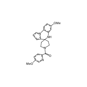 COc1ccc(C(=O)N2CCC3(CC2)Nc2cc(OC)ccc2-n2cccc23)nc1